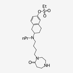 CCCN(CCCCN1CCNCCC1=O)C1CCc2cc(OS(=O)(=O)CC)ccc2C1